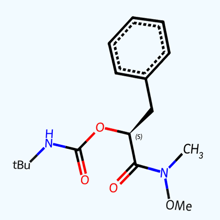 CON(C)C(=O)[C@H](Cc1ccccc1)OC(=O)NC(C)(C)C